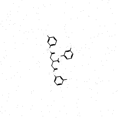 CCc1cccc(NC(=O)CC(CC(=O)Nc2cccc(CC)c2)C(=O)Nc2cccc(CC)c2)c1